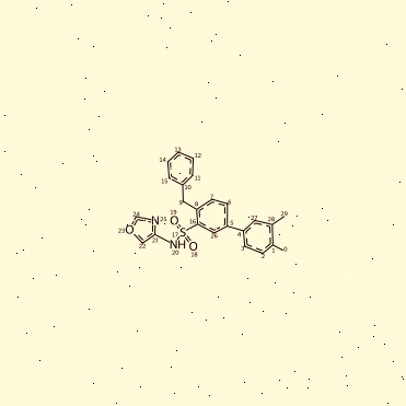 Cc1ccc(-c2ccc(Cc3ccccc3)c(S(=O)(=O)Nc3cocn3)c2)cc1C